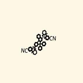 CC12CCCCC1(C)N(c1ccc3c(c1)C(c1ccccc1)(c1ccccc1)c1cc(N4c5ccc(C#N)cc5C5(C)CCCCC45C)c4ccccc4c1-3)c1ccc(C#N)cc12